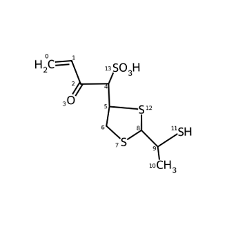 C=CC(=O)C(C1CSC(C(C)S)S1)S(=O)(=O)O